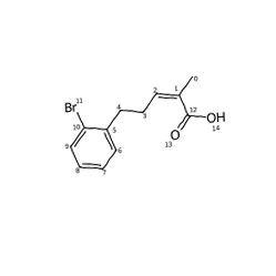 CC(=CCCc1ccccc1Br)C(=O)O